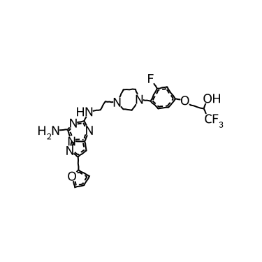 Nc1nc(NCCN2CCN(c3ccc(OCC(O)C(F)(F)F)cc3F)CC2)nc2cc(-c3ccco3)nn12